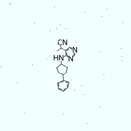 CC(C#N)c1cncnc1NC1CCC(c2ccccc2)CC1